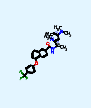 C=N/C(=C\C(=C/C)N(C)C)[C@@H](C)NC(=O)c1ccc2c(Oc3ccc(C(F)(F)F)cc3)cccc2c1